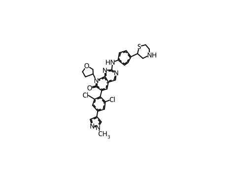 Cn1cc(-c2cc(Cl)c(-c3cc4cnc(Nc5ccc(C6CNCCS6)cc5)nc4n(C4CCOC4)c3=O)c(Cl)c2)cn1